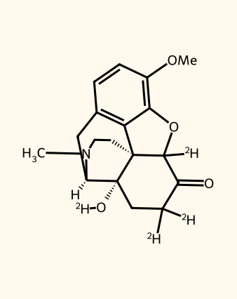 [2H]O[C@@]12CC([2H])([2H])C(=O)C3([2H])Oc4c(OC)ccc5c4[C@@]31CCN(C)[C@@H]2C5